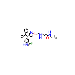 CNC(=O)/C=C/CNCCOc1ccc(/C(=C(\c2ccccc2)C2CCC2)c2ccc3[nH]cc(F)c3c2)cn1